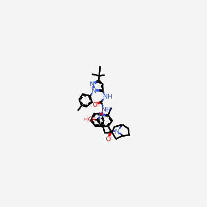 Cc1ccc(-n2nc(C(C)(C)C)cc2NC(=O)Nc2cccc(CC3CC4CCC(C3)N4C(=O)c3cc(C)nc(O)c3)c2)cc1